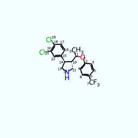 C[C@@H](Oc1ccc(C(F)(F)F)cc1)[C@@H]1CNC[C@H]1c1ccc(Cl)c(Cl)c1